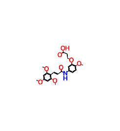 COc1cc(OC)c(C=CC(=O)Nc2ccc(OC)c(OCCC(=O)O)c2)c(OC)c1